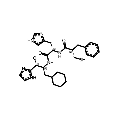 O=C(N[C@@H](Cc1c[nH]cn1)C(=O)N[C@@H](CC1CCCCC1)[C@@H](O)c1ncc[nH]1)[C@@H](CS)Cc1ccccc1